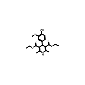 CCOC(=O)C1=C(C)NC(C)=C(C(=O)OCC)C1c1ccc(O)c(OC)c1